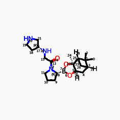 CC1(C)[C@@H]2C[C@H]3OB([C@@H]4CCCN4C(=O)CN[C@@H]4CCNC4)O[C@@]3(C)[C@H]1C2